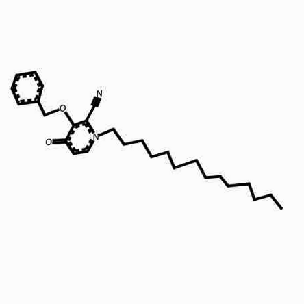 CCCCCCCCCCCCCCn1ccc(=O)c(OCc2ccccc2)c1C#N